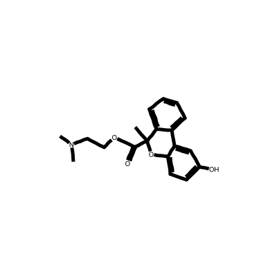 CN(C)CCOC(=O)C1(C)Oc2ccc(O)cc2-c2ccccc21